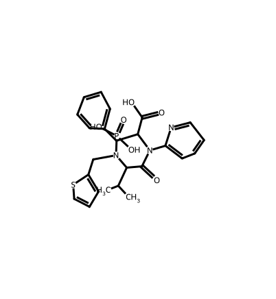 CC(C)C(C(=O)N(c1ccccn1)C(Cc1ccccc1)C(=O)O)N(Cc1cccs1)P(=O)(O)O